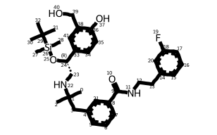 CC(C)(Cc1cccc(C(=O)NCCc2cccc(F)c2)c1)NC[C@H](O[Si](C)(C)C(C)(C)C)c1ccc(O)c(CO)c1